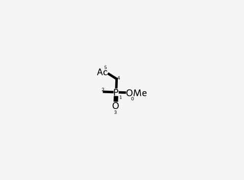 COP(C)(=O)CC(C)=O